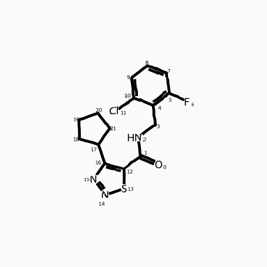 O=C(NCc1c(F)cccc1Cl)c1snnc1C1CCCC1